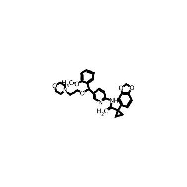 C=C(Nc1ccc(C(OCCN2CCOCC2)c2ccccc2OC)cn1)C1(c2ccc3c(c2)OCO3)CC1